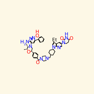 CCc1cn(C2CCC(CN3CCN(C(=O)c4ccc([C@@H]5CN(c6cc(-c7ccccc7O)nnc6N)[C@H](C)[C@H](C)O5)cc4)CC3)CC2)c2ncc(N3CCC(=O)NC3=O)cc12